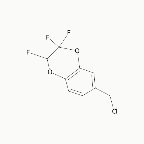 FC1Oc2ccc(CCl)cc2OC1(F)F